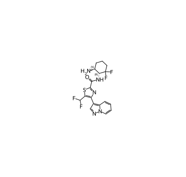 N[C@H]1CCCC(F)(F)[C@@H]1NC(=O)c1nc(-c2cnn3ccccc23)c(C(F)F)s1